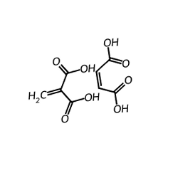 C=C(C(=O)O)C(=O)O.O=C(O)/C=C\C(=O)O